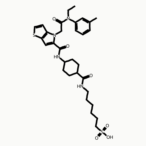 CCN(C(=O)Cn1c(C(=O)NC2CCC(C(=O)NCCCCCCS(=O)(=O)O)CC2)cc2sccc21)c1cccc(C)c1